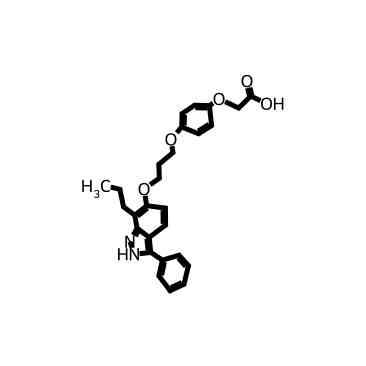 CCCc1c(OCCCOc2ccc(OCC(=O)O)cc2)ccc2c(-c3ccccc3)[nH]nc12